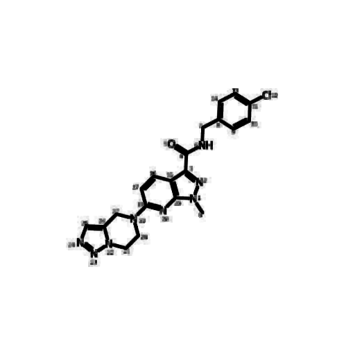 Cn1nc(C(=O)NCc2ccc(Cl)cc2)c2ccc(N3CCn4nncc4C3)nc21